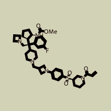 C=CC(=O)N1CCC[C@@H](S(=O)(=O)c2ccc(N3CC(CN4CCC([C@@](CN5CCC5)(c5cccc(F)c5)[C@H]5CCC[C@@H]5NC(=O)OC)CC4)C3)cc2)C1